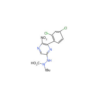 CC(C)(C)N(Nc1cnc([N+](=O)[O-])c(-c2ccc(Cl)cc2Cl)n1)C(=O)O